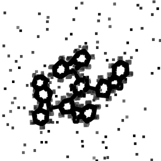 c1ccc2cc3c(cc2c1)c1ccccc1n3-c1cc(-c2nc(-c3ccc4oc5ccccc5c4c3)nc(-n3c4ccccc4c4ccccc43)n2)c2c(c1)oc1ccccc12